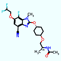 CC(=O)N[C@@H](C)CO[C@H]1CC[C@H](Oc2nc3c(C#N)cc(OCC(F)F)c(F)c3n2C)CC1